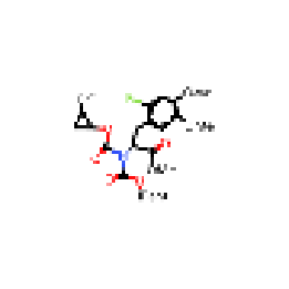 CCCC(C)OC(=O)N(C(=O)OC1CC1CCC)C(Cc1cc(OC)c(OC)cc1F)C(=O)OC